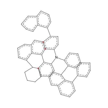 c1ccc(-c2cccc3cccc(-c4ccccc4N(c4ccc(-c5cccc6ccccc56)cc4)c4ccccc4-c4cccc5cccc(C6CCCCC6)c45)c23)cc1